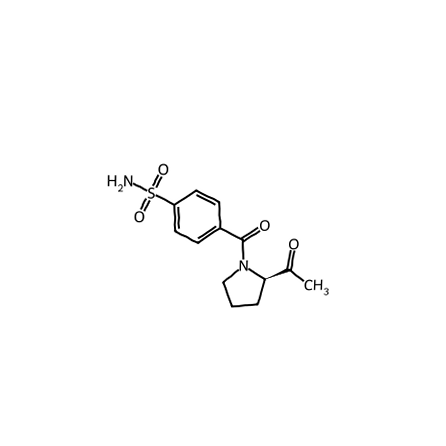 CC(=O)[C@H]1CCCN1C(=O)c1ccc(S(N)(=O)=O)cc1